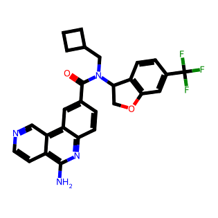 Nc1nc2ccc(C(=O)N(CC3CCC3)C3COc4cc(C(F)(F)F)ccc43)cc2c2cnccc12